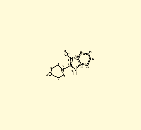 [O-][n+]1c(N2CCOCC2)[nH]c2ccccc21